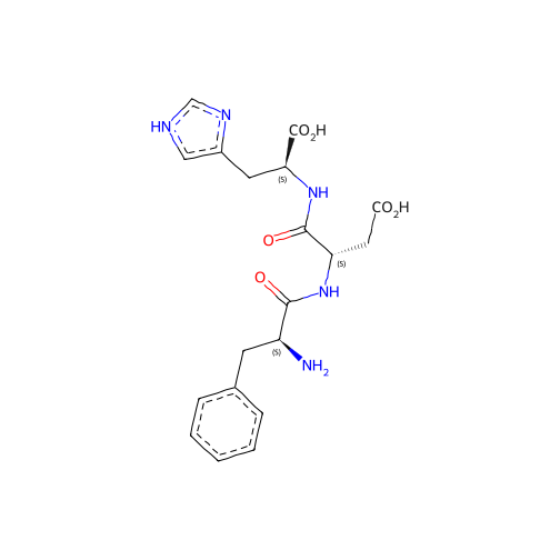 N[C@@H](Cc1ccccc1)C(=O)N[C@@H](CC(=O)O)C(=O)N[C@@H](Cc1c[nH]cn1)C(=O)O